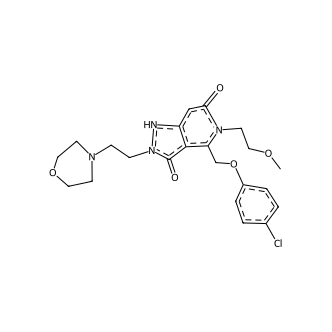 COCCn1c(COc2ccc(Cl)cc2)c2c(=O)n(CCN3CCOCC3)[nH]c2cc1=O